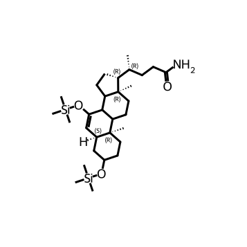 C[C@H](CCC(N)=O)[C@H]1CCC2C3C(O[Si](C)(C)C)=C[C@@H]4CC(O[Si](C)(C)C)CC[C@]4(C)C3CC[C@@]21C